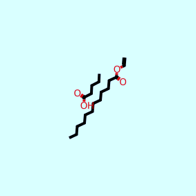 C=COC(=O)CCCCCCCCCCC.CCCCC(=O)O